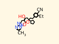 CCc1cc(CCC2(C3CCCC3)CC(O)=C(Cc3nc4ncc(C)cn4n3)C(=O)O2)ccc1CC#N